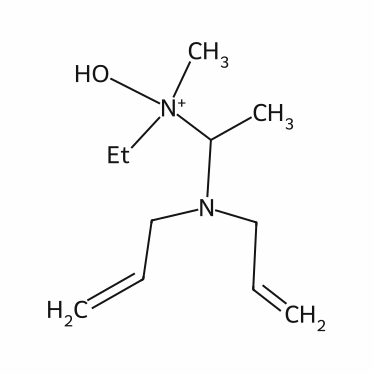 C=CCN(CC=C)C(C)[N+](C)(O)CC